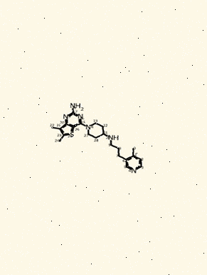 Cc1ccncc1CCCNC1CCN(c2nc(N)nc3c(C)c(C)sc23)CC1